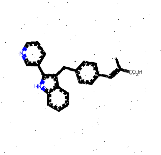 CC(=Cc1ccc(Cc2c(-c3cccnc3)[nH]c3ccccc23)cc1)C(=O)O